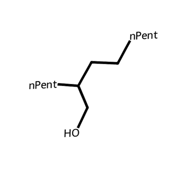 CCCCCCCC(CO)CCCCC